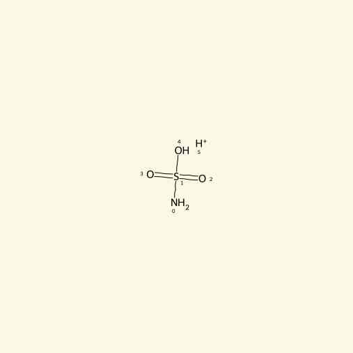 NS(=O)(=O)O.[H+]